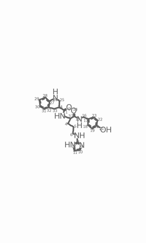 O=C(NC(CCCNc1ncc[nH]1)C(=O)NCc1ccc(O)cc1)C1CNc2ccccc2C1